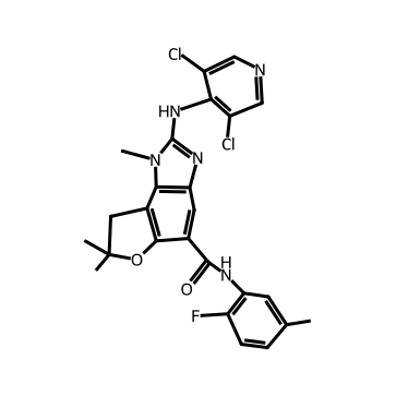 Cc1ccc(F)c(NC(=O)c2cc3nc(Nc4c(Cl)cncc4Cl)n(C)c3c3c2OC(C)(C)C3)c1